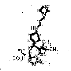 CCC(C(=O)O)[C@@H]1N=C(c2ccc(NCCCn3ccnc3)cc2)c2c(sc(C)c2C)-n2c(C)nnc21